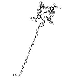 CCn1nc(C)cc1C(=O)/N=c1\[nH]c2cc(C(N)=O)cc(OC)c2n1C/C=C/Cn1/c(=N/C(=O)c2cc(C)nn2CC)[nH]c2cc(C(N)=O)cc(OCCCN3CCN(CCOCCOCCOCCOCCOCCOCCOCCOCCOCCOCCC(=O)O)CC3)c21